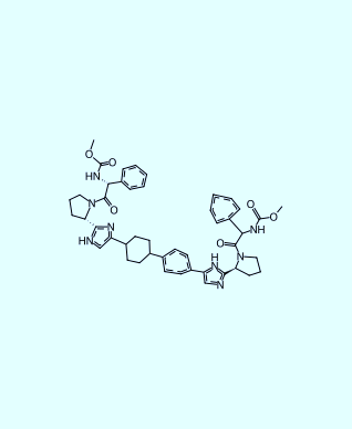 COC(=O)NC(C(=O)N1CCC[C@H]1c1ncc(-c2ccc(C3CCC(c4c[nH]c([C@@H]5CCCN5C(=O)[C@H](NC(=O)OC)c5ccccc5)n4)CC3)cc2)[nH]1)c1ccccc1